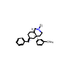 CCN1CC[C@@]2(c3cccc(OC)c3)C/C(=C/c3ccccc3)CC[C@@H]2C1